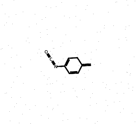 C=C1C=CC(N=C=O)=CC1